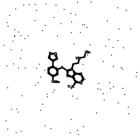 COc1ccc(-c2cnoc2)c(Sc2nc3c(N)ncnc3n2CCNCC(C)(C)C)c1